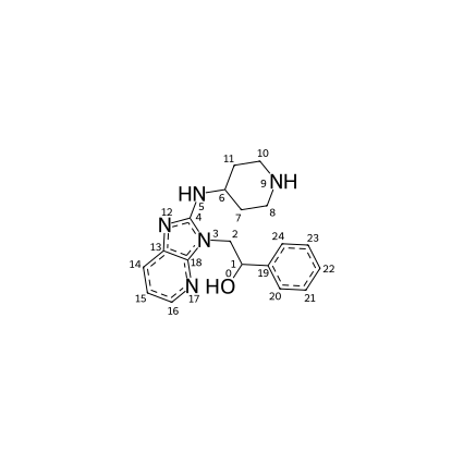 OC(Cn1c(NC2CCNCC2)nc2cccnc21)c1ccccc1